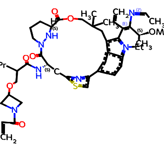 C=CC(=O)N1CC(OCC(C(=O)N[C@H]2Cc3nc(cs3)-c3ccc4c(c3)c(c(/C(C=C)=C(/N=C\C)[C@H](C)OC)n4CC)CC(C)(C)COC(=O)[C@@H]3CCCN(N3)C2=O)C(C)C)C1